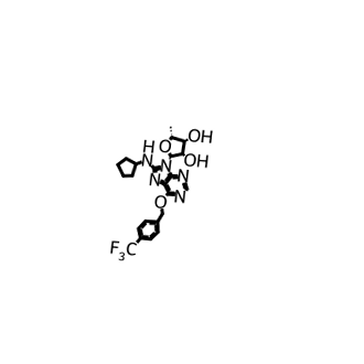 C[C@H]1O[C@@H](n2c(NC3CCCC3)nc3c(OCc4ccc(C(F)(F)F)cc4)ncnc32)[C@H](O)[C@@H]1O